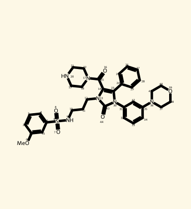 COc1cccc(S(=O)(=O)NCCCn2c(C(=O)N3CCNCC3)c(-c3ccccc3)n(-c3cccc(N4CCOCC4)c3)c2=O)c1